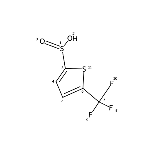 O=S(O)c1ccc(C(F)(F)F)s1